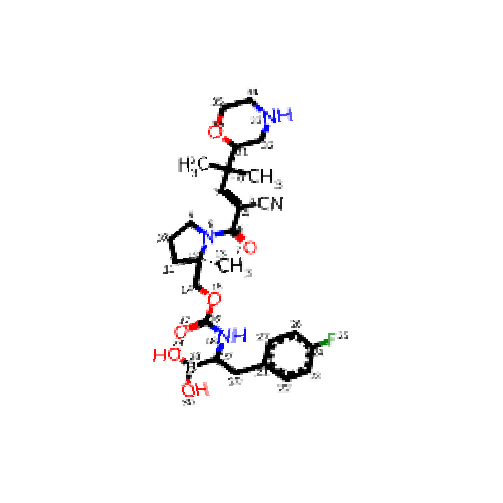 CC(C)(C=C(C#N)C(=O)N1CCC[C@]1(C)COC(=O)NC(Cc1ccc(F)cc1)B(O)O)C1CNCCO1